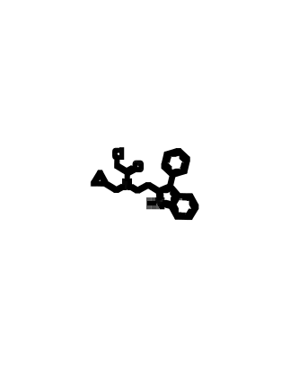 O=C(CCl)N(CCc1[nH]c2ccccc2c1-c1ccccc1)CC1CC1